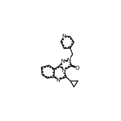 O=c1n(Cc2ccncc2)nc2c3ccccc3nc(C3CC3)n12